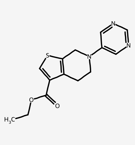 CCOC(=O)c1csc2c1CCN(c1cncnc1)C2